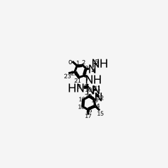 Cc1cc(N=N)c(NC(=N)n2nnc3c(C)c(C)ccc32)cc1C